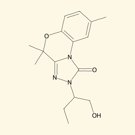 CCC(CO)n1nc2n(c1=O)-c1cc(C)ccc1OC2(C)C